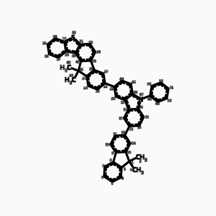 CC1(C)c2ccccc2-c2ccc(-c3ccc4c(c3)c3cc(-c5ccc6c(c5)-c5ccc7sc8ccccc8c7c5C6(C)C)ccc3n4-c3ccccc3)cc21